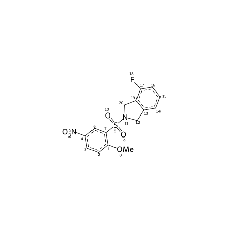 COc1ccc([N+](=O)[O-])cc1S(=O)(=O)N1Cc2cccc(F)c2C1